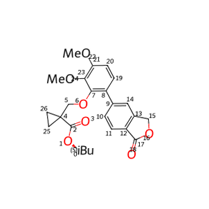 CC[C@H](C)OC(=O)C1(COc2c(-c3ccc4c(c3)COC4=O)ccc(OC)c2OC)CC1